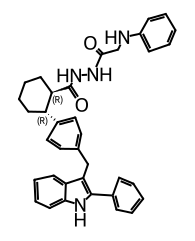 O=C(CNc1ccccc1)NNC(=O)[C@@H]1CCCC[C@H]1c1ccc(Cc2c(-c3ccccc3)[nH]c3ccccc23)cc1